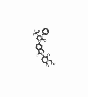 O=C1CCC(N2Cc3cc(N4C[C@H](C(F)(F)F)N(c5ccccc5)C4=O)ccc3C2=O)C(=O)N1CO